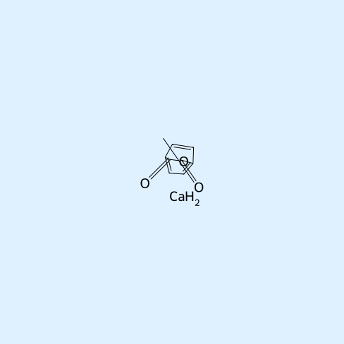 O=c1oc(=O)c2ccc1cc2.[CaH2]